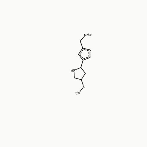 CNCc1cc(C2CC(SC(C)(C)C)CN2)cs1